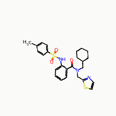 Cc1ccc(S(=O)(=O)Nc2ccccc2C(=O)N(Cc2nccs2)CC2CCCCC2)cc1